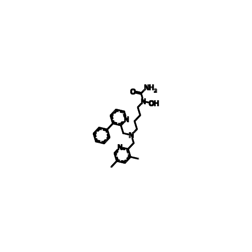 Cc1cnc(CN(CCCCN(O)C(N)=O)Cc2ncccc2-c2ccccc2)c(C)c1